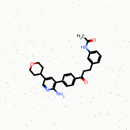 CC(=O)Nc1cccc(CCC(=O)c2ccc(-c3cc(C4CCOCC4)cnc3N)cc2)c1